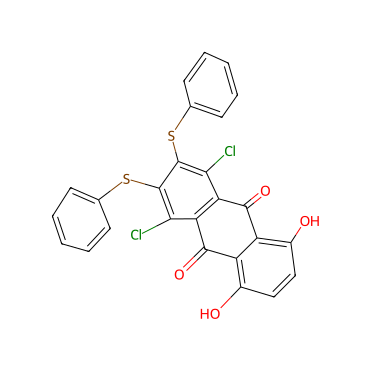 O=C1c2c(O)ccc(O)c2C(=O)c2c(Cl)c(Sc3ccccc3)c(Sc3ccccc3)c(Cl)c21